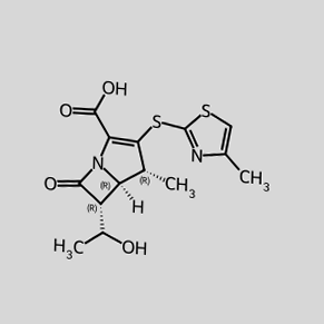 Cc1csc(SC2=C(C(=O)O)N3C(=O)[C@@H](C(C)O)[C@@H]3[C@H]2C)n1